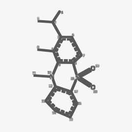 Cc1c(C(C)C)ccc2c1N(C)c1ccccc1S2(=O)=O